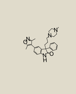 Cc1noc(C)c1-c1ccc2c(c1)C(CCCN1CCN(C)CC1)(c1ccccc1)C(=O)N2